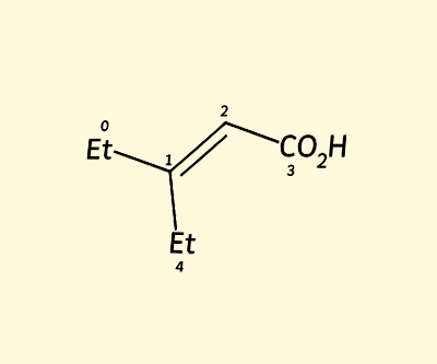 CCC(=CC(=O)O)CC